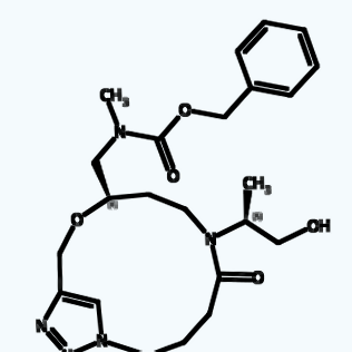 C[C@@H](CO)N1CC[C@H](CN(C)C(=O)OCc2ccccc2)OCc2cn(nn2)CCCC1=O